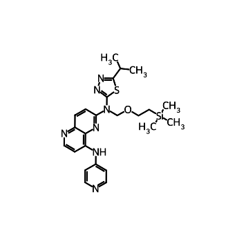 CC(C)c1nnc(N(COCC[Si](C)(C)C)c2ccc3nccc(Nc4ccncc4)c3n2)s1